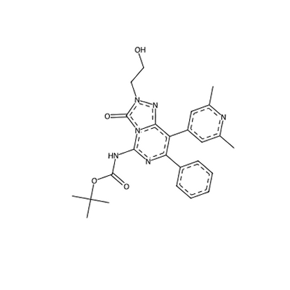 Cc1cc(-c2c(-c3ccccc3)nc(NC(=O)OC(C)(C)C)n3c(=O)n(CCO)nc23)cc(C)n1